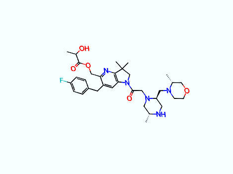 CC(O)C(=O)OCc1nc2c(cc1Cc1ccc(F)cc1)N(C(=O)CN1C[C@@H](C)NC[C@@H]1CN1CCOC[C@H]1C)CC2(C)C